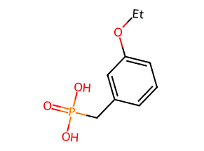 CCOc1cccc(CP(=O)(O)O)c1